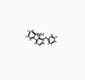 c1ccc(Cc2cccc3c2[nH]c2ccccc23)cc1